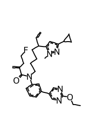 C=CC(CCCCN(C(=O)C(=C)CCF)c1cccc(-c2cnc(OCC)nc2)c1)c1cc(C2CC2)nn1C